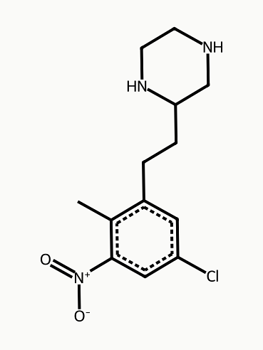 Cc1c(CCC2CNCCN2)cc(Cl)cc1[N+](=O)[O-]